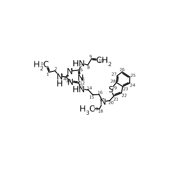 C=CCNc1nc(NCC=C)nc(NCCCN(CC)Cc2cc3ccccc3s2)n1